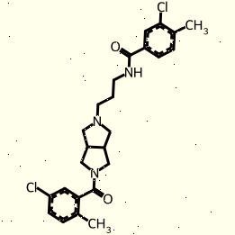 Cc1ccc(C(=O)NCCCN2CC3CN(C(=O)c4cc(Cl)ccc4C)CC3C2)cc1Cl